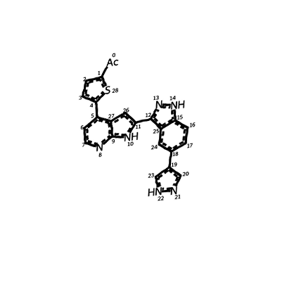 CC(=O)c1ccc(-c2ccnc3[nH]c(-c4n[nH]c5ccc(-c6cn[nH]c6)cc45)cc23)s1